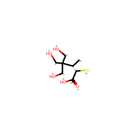 CCC(CO)(CO)CO.O=C(O)CS